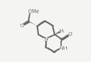 COC(=O)[C@@H]1CC[C@@H]2C(=O)NCCN2C1